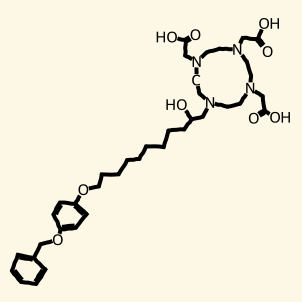 O=C(O)CN1CCN(CC(=O)O)CCN(CC(O)CCCCCCCCCOc2ccc(OCc3ccccc3)cc2)CCN(CC(=O)O)CC1